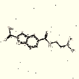 CN(C)CCNC(=O)c1ccc2oc(C(=O)C(C)(C)C)cc2c1